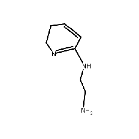 NCCNC1=NCCC=C1